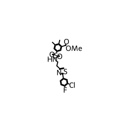 COC(=O)c1cc(S(=O)(=O)NCCc2csc(-c3ccc(F)c(Cl)c3)n2)cc(C)c1C